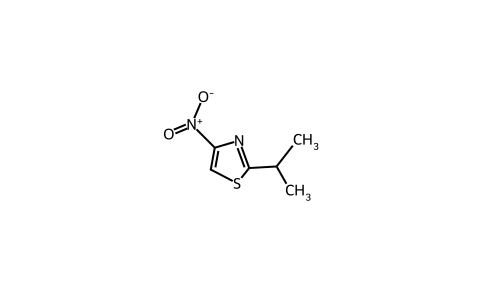 CC(C)c1nc([N+](=O)[O-])cs1